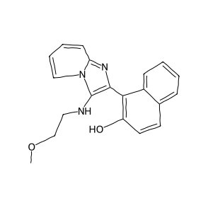 COCCNc1c(-c2c(O)ccc3ccccc23)nc2ccccn12